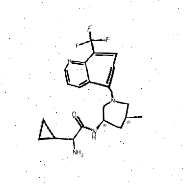 C[C@H]1C[C@@H](NC(=O)C(N)C2CC2)CN(c2ccc(C(F)(F)F)c3ncccc23)C1